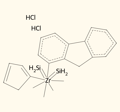 Cl.Cl.[CH3][Zr]([CH3])([CH3])([CH3])(=[SiH2])(=[SiH2])([C]1=CC=CC1)[c]1cccc2c1Cc1ccccc1-2